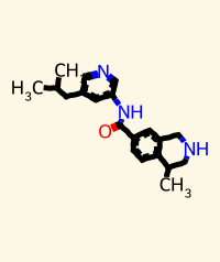 CC(C)Cc1cncc(NC(=O)c2ccc3c(c2)CNCC3C)c1